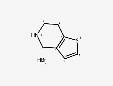 Br.c1cc2c(s1)CCNC2